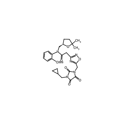 COc1ccccc1N(C[C@H]1CCC(C)(C)O1)C(=O)Cc1noc(CN2C(=O)C(=O)N(CC3CC3)C2=O)n1